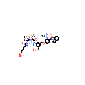 CNC1=C(C(O)N2CCC3C=CCC[C@H]32)CC[C@@H](OCC2=CC(NC(=O)[C@H](C)NC(=O)[C@H](C)NC(=O)CCCCCOO)C[C@H](CO)C2)C1